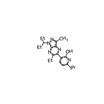 CCc1nc2c(nc1-c1ccc(C(C)C)nc1O)c(C)nn2C(CC)CC